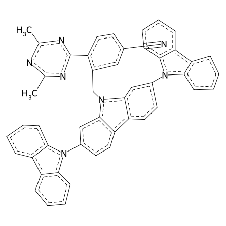 Cc1nc(C)nc(-c2ccc(C#N)cc2Cn2c3cc(-n4c5ccccc5c5ccccc54)ccc3c3ccc(-n4c5ccccc5c5ccccc54)cc32)n1